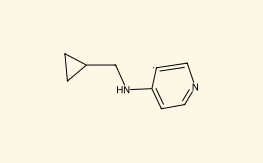 [c]1cnccc1NCC1CC1